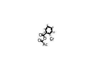 CC(=O)C(=O)OC(=O)c1ccccc1.[Cr]